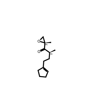 C[C@@H](CCC1=CCCC1)C(=O)[C@@]1(C)CO1